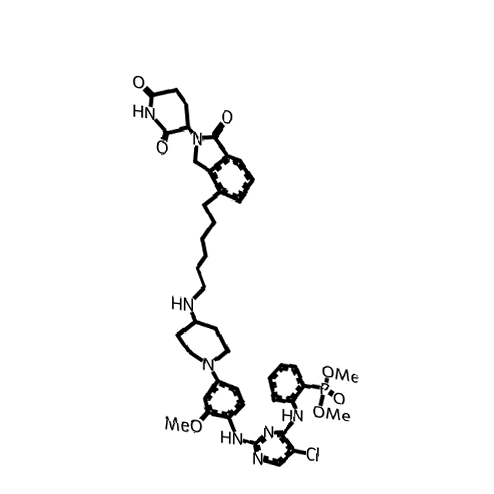 COc1cc(N2CCC(NCCCCCCc3cccc4c3CN(C3CCC(=O)NC3=O)C4=O)CC2)ccc1Nc1ncc(Cl)c(Nc2ccccc2P(=O)(OC)OC)n1